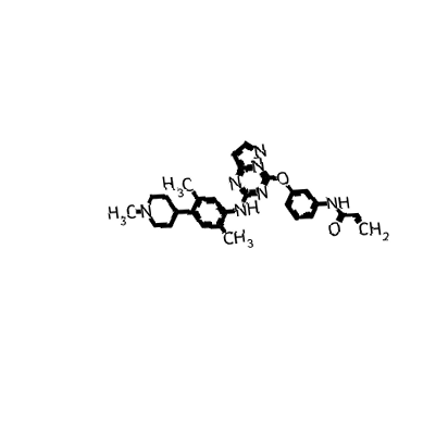 C=CC(=O)Nc1cccc(Oc2nc(Nc3cc(C)c(C4CCN(C)CC4)cc3C)nc3ccnn23)c1